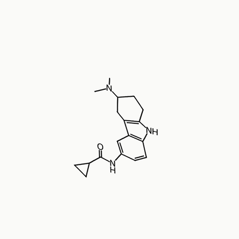 CN(C)C1CCc2[nH]c3ccc(NC(=O)C4CC4)cc3c2C1